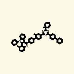 CC1CC(c2nc(-c3ccc(-c4ccccc4)cc3)nc(C3(C)C=CC=CC3)n2)=CC=C1c1ccc(-c2nc3c(c4c2c2ccccc2n4-c2ccccc2)C(C)CC=C3)cc1